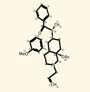 C=CCN1CC[C@@]2(c3cccc(OC)c3)C[C@@H](N(C)C(=O)c3ccccc3)CC[C@]2(OC(C)=O)C1